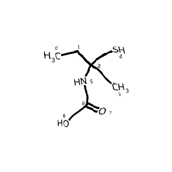 CCC(C)(S)NC(=O)O